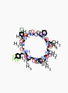 CC(C)C[C@@H]1NC(=O)C(C)(C)N(C)C(=O)[C@H](CC(C)C)NC(=O)[C@H](CCc2ccc(C(F)(F)F)c(F)c2)NC(=O)CN(C)C(=O)[C@H](Cc2ccc(Cl)cc2)N(C)C(=O)CN(C)C(=O)CN(C)C(=O)[C@H](C2CCCCC2)NC(=O)[C@H](CC(C)C)N(C)C(=O)C[C@@H](C)N(C)C1=O